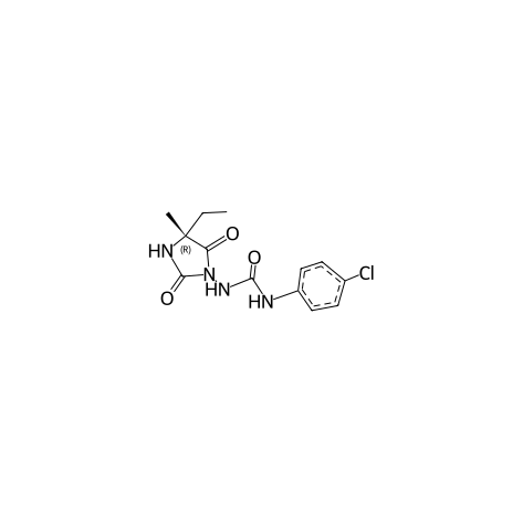 CC[C@@]1(C)NC(=O)N(NC(=O)Nc2ccc(Cl)cc2)C1=O